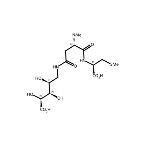 CN[C@@H](CC(=O)NC[C@H](O)[C@@H](O)[C@H](O)C(=O)O)C(=O)N[C@@H](CSC)C(=O)O